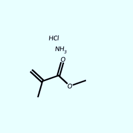 C=C(C)C(=O)OC.Cl.N